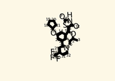 CCC(C)O/C(=C1/SC(=O)NC1=O)c1cc(OC2CCCC2)cc(-c2cc(C(F)(F)F)ccn2)c1